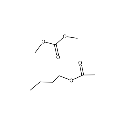 CCCCOC(C)=O.COC(=O)OC